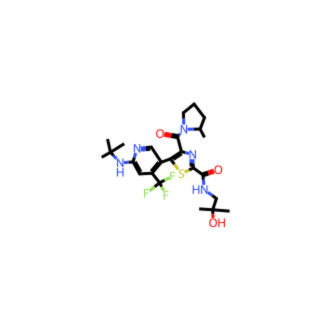 CC1CCCN1C(=O)c1nc(C(=O)NCC(C)(C)O)sc1-c1cnc(NC(C)(C)C)cc1C(F)(F)F